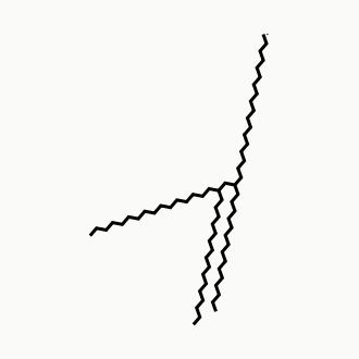 [CH2]CCCCCCCCCCCCCCCCCC(CCCCCCCCCCCCCCC)CC(CCCCCCCCCCCCCCCC)CCCCCCCCCCCCCCCC